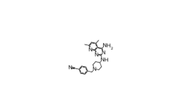 Cc1cc(C)c2c(N)nc(NC3CCN(Cc4ccc(C#N)cc4)CC3)nc2n1